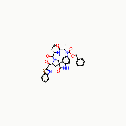 CC(C)C[C@@H](C(=O)N1C[C@]2(C[C@H]1C(=O)c1nc3ccccc3s1)C(=O)Nc1ccccc12)N(C)C(=O)[C@H](C)NC(=O)OCc1ccccc1